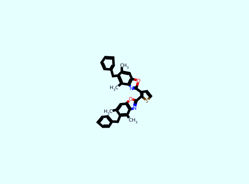 Cc1cc2oc(-c3ccsc3-c3nc4c(C)c(Cc5ccccc5)c(C)cc4o3)nc2c(C)c1Cc1ccccc1